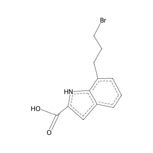 O=C(O)c1cc2cccc(CCCBr)c2[nH]1